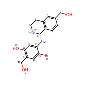 OCc1ccc2c(c1)CCN[C@H]2Cc1cc(O)c(CO)cc1Br